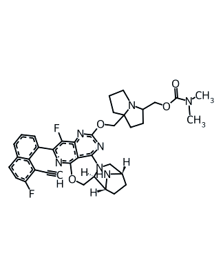 C#Cc1c(F)ccc2cccc(-c3nc4c5c(nc(OCC67CCCN6C(COC(=O)N(C)C)CC7)nc5c3F)N3C[C@@H]5CC[C@@H](N5)[C@H]3CO4)c12